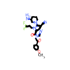 COc1cccc(C(=O)Cn2cnc3c(C#N)c(N4CCCC(N)C4)n(CC=C(F)F)c3c2=O)c1